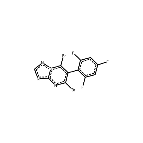 Fc1cc(F)c(-c2c(Br)nc3ncnn3c2Br)c(F)c1